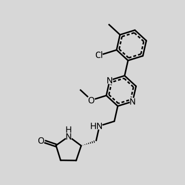 COc1nc(-c2cccc(C)c2Cl)cnc1CNC[C@@H]1CCC(=O)N1